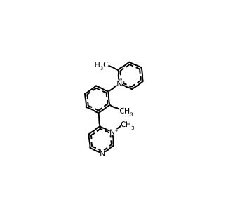 Cc1c(-c2ccnc[n+]2C)cccc1-[n+]1ccccc1C